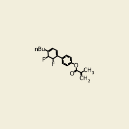 C=C(C)C(=O)Oc1ccc(C2=CC=C(CCCC)C(F)C2F)cc1